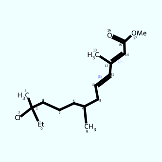 CCC(C)(Cl)CCCC(C)C/C=C/C(C)=C/C(=O)OC